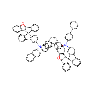 c1ccc(-c2ccc(N(c3ccc(-c4ccccc4)cc3)c3ccc4c(c3)C3(c5ccccc5-4)c4ccccc4-c4oc5cc(-c6cccc7cc(N(c8ccc9c(c8)-c8ccccc8C98c9ccccc9-c9oc%10ccccc%10c98)c8ccc9ccccc9c8)ccc67)ccc5c43)cc2)cc1